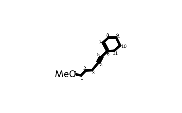 COCCCC#CC1=CC[CH]CC1